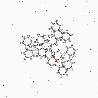 c1ccc(-c2ccc(-c3cc4c(cc3N(c3ccc(-c5ccccc5-c5ccccc5)cc3)c3ccc5c6ccccc6c6ccccc6c5c3)C3(c5ccccc5-c5ccccc53)c3ccccc3-4)cc2)cc1